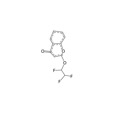 O=c1cc(OC(F)C(F)F)oc2ccccc12